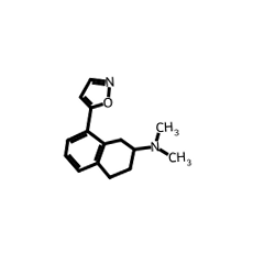 CN(C)C1CCc2cccc(-c3ccno3)c2C1